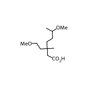 COCCC(C)(CCC(C)OC)CC(=O)O